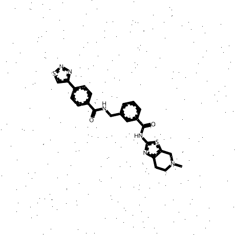 CN1CCc2nc(NC(=O)c3cccc(CNC(=O)c4ccc(-c5csnn5)cc4)c3)sc2C1